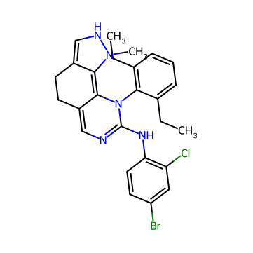 CCc1cccc(CC)c1N1C(Nc2ccc(Br)cc2Cl)=NC=C2CCC3=CNN(C)C3=C21